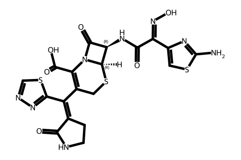 Nc1nc(C(=NO)C(=O)N[C@@H]2C(=O)N3C(C(=O)O)=C(C(=C4CCNC4=O)c4nncs4)CS[C@H]23)cs1